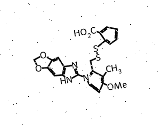 COc1cc[n+](-c2nc3cc4c(cc3[nH]2)OCO4)c(CSSc2ccccc2C(=O)O)c1C